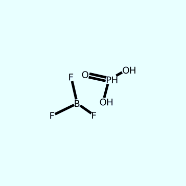 FB(F)F.O=[PH](O)O